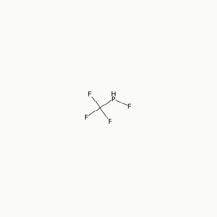 FPC(F)(F)F